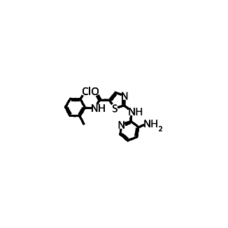 Cc1cccc(Cl)c1NC(=O)c1cnc(Nc2ncccc2N)s1